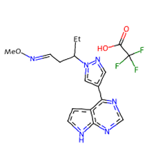 CCC(CC=NOC)n1cc(-c2ncnc3[nH]ccc23)cn1.O=C(O)C(F)(F)F